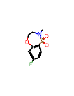 CN1CCOc2cc(F)ccc2S1(=O)=O